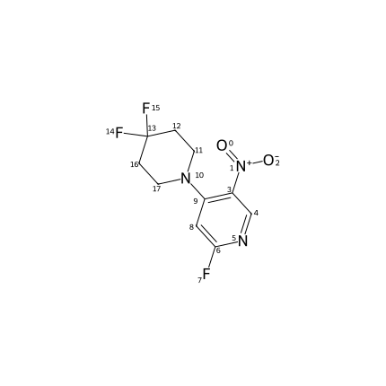 O=[N+]([O-])c1cnc(F)cc1N1CCC(F)(F)CC1